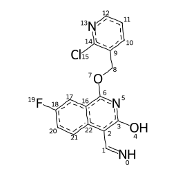 N=Cc1c(O)nc(OCc2cccnc2Cl)c2cc(F)ccc12